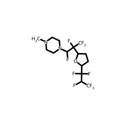 CN1CCN(C(F)C(F)(C2CCC(C(F)(F)C(F)C(F)(F)F)O2)C(F)(F)F)CC1